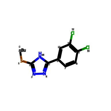 CCCCSc1nnc(-c2ccc(Cl)c(Cl)c2)[nH]1